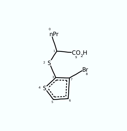 CCCC(Sc1sccc1Br)C(=O)O